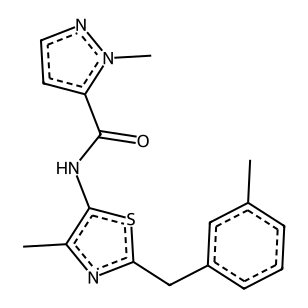 Cc1cccc(Cc2nc(C)c(NC(=O)c3ccnn3C)s2)c1